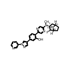 CN(c1cnc(-c2ccc(-c3cnn(-c4cccnc4)c3)cc2O)cn1)[C@H]1C[C@@H]2CC[C@@H](N2)[C@H]1F